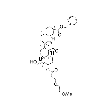 COCCOCCC(=O)O[C@H]1CC[C@@]2(C)[C@@H](CC[C@]3(C)[C@@H]2C(=O)C=C2[C@@H]4C[C@@](C)(C(=O)OCc5ccccc5)CC[C@]4(C)CC[C@]23C)[C@]1(C)C(=O)O